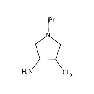 CC(C)N1CC(N)C(C(F)(F)F)C1